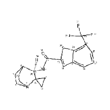 O=C(N[C@@H]1C2CCN(CC2)C12CC2)c1cc2cccc(C(F)(F)F)c2s1